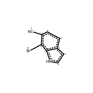 N#Cc1ccc2cc[nH]c2c1Br